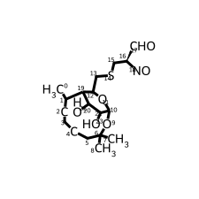 CC1CCCCC(C)(C)OC2OC(CSC[C@@H](C=O)N=O)C1C(O)C2O